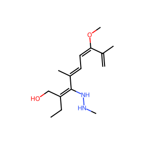 C=C(C)\C(=C/C=C(C)/C(NNC)=C(/CC)CO)OC